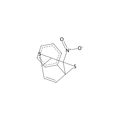 O=[N+]([O-])C12SC1(c1ccccc1)C=CC1SC12